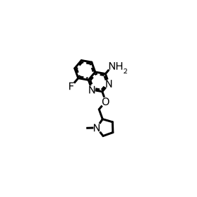 CN1CCCC1COc1nc(N)c2cccc(F)c2n1